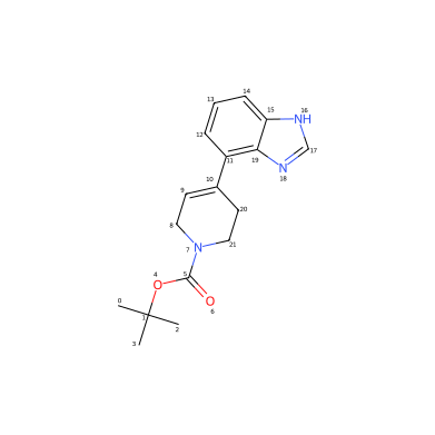 CC(C)(C)OC(=O)N1CC=C(c2cccc3[nH]cnc23)CC1